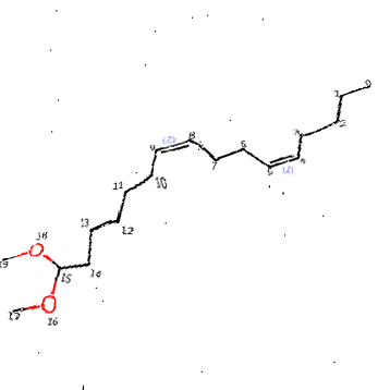 CCCC/C=C\CC/C=C\CCCCCC(OC)OC